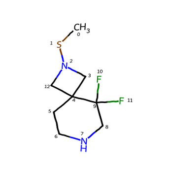 CSN1CC2(CCNCC2(F)F)C1